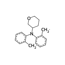 [CH2]c1ccccc1N(c1ccccc1[CH2])C1CCCOC1